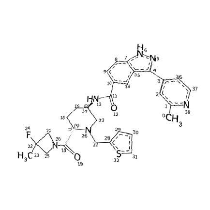 Cc1cc(-c2n[nH]c3ccc(C(=O)N[C@@H]4CC[C@@H](C(=O)N5CC(C)(F)C5)N(Cc5cccs5)C4)cc23)ccn1